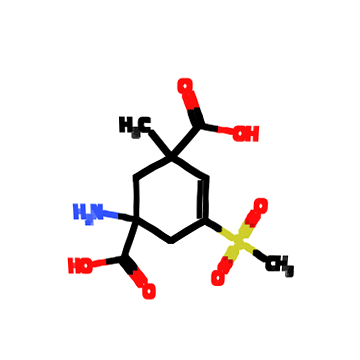 CC1(C(=O)O)C=C(S(C)(=O)=O)CC(N)(C(=O)O)C1